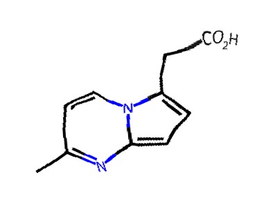 Cc1ccn2c(CC(=O)O)ccc2n1